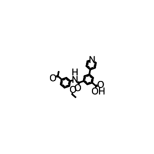 CCOc1ccc(C(C)=O)cc1NC(=O)c1cc(C(=O)O)cc(-c2ccncc2)c1